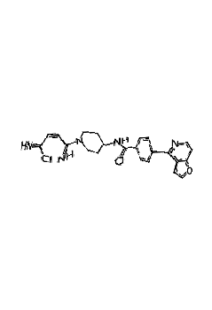 N=C(Cl)/C=C\C(=N)N1CCC(NC(=O)c2ccc(-c3nccc4occc34)cc2)CC1